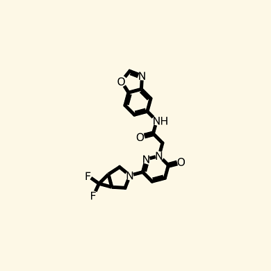 O=C(Cn1nc(N2CC3C(C2)C3(F)F)ccc1=O)Nc1ccc2ocnc2c1